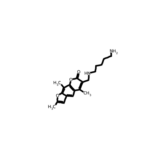 Cc1cc2cc3c(C)c(CNCCCCCN)c(=O)oc3c(C)c2o1